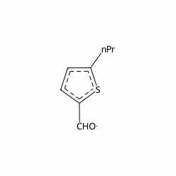 CCCc1ccc([C]=O)s1